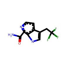 NC(=O)c1nccc2c1[N]C=C2CC(F)(F)F